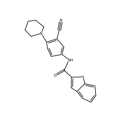 N#Cc1cc(NC(=O)c2cc3ccccc3s2)ccc1N1CCCCC1